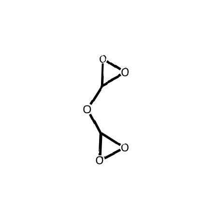 O1OC1OC1OO1